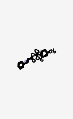 CC1=CC[C@@H](C(C)(C)OC(=O)/C=C/c2ccccc2)CC1